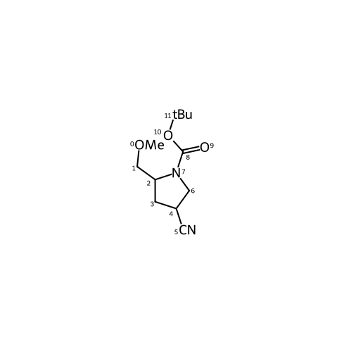 COCC1CC(C#N)CN1C(=O)OC(C)(C)C